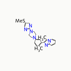 CSc1cnc(N2CCN(c3ccc(C)c(-c4nc5ccccn5c4C)c3)CC2)nc1